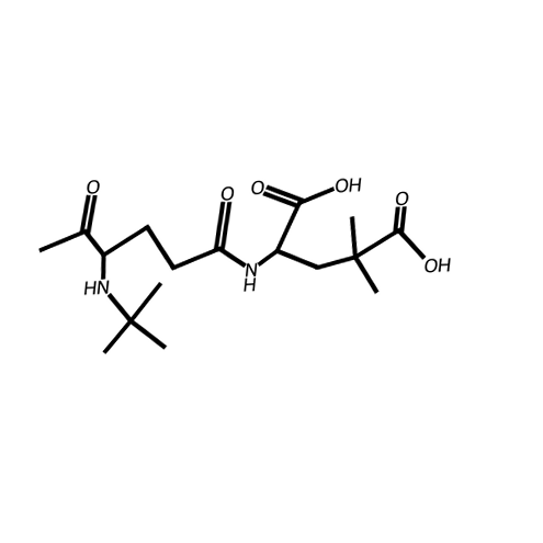 CC(=O)C(CCC(=O)NC(CC(C)(C)C(=O)O)C(=O)O)NC(C)(C)C